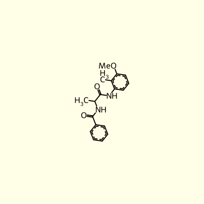 COc1cccc(NC(=O)C(C)NC(=O)c2ccccc2)c1C